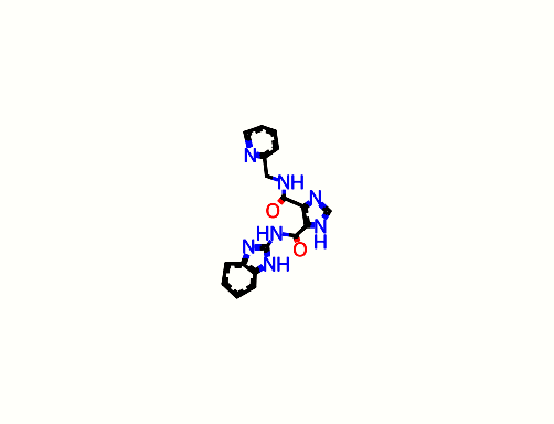 O=C(NCc1ccccn1)c1nc[nH]c1C(=O)Nc1nc2ccccc2[nH]1